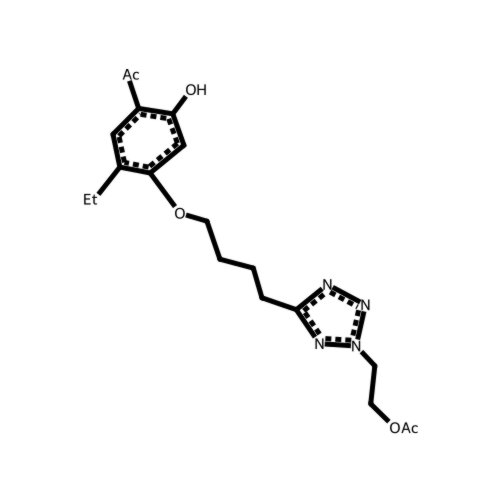 CCc1cc(C(C)=O)c(O)cc1OCCCCc1nnn(CCOC(C)=O)n1